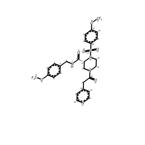 O=C(NCc1ccc(OC(F)(F)F)cc1)[C@H]1CN(C(=O)Cc2ccncc2)CCN1S(=O)(=O)c1ccc(OC(F)(F)F)cc1